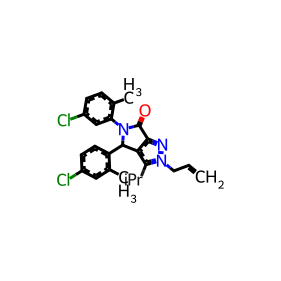 C=CCn1nc2c(c1C(C)C)C(c1ccc(Cl)cc1C)N(c1cc(Cl)ccc1C)C2=O